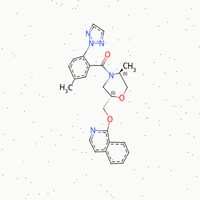 Cc1ccc(-n2nccn2)c(C(=O)N2C[C@@H](COc3nccc4ccccc34)OC[C@@H]2C)c1